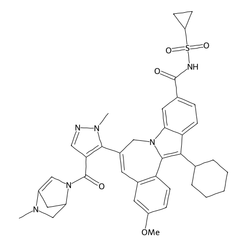 COc1ccc2c(c1)C=C(c1c(C(=O)N3C=C4CC3CN4C)cnn1C)Cn1c-2c(C2CCCCC2)c2ccc(C(=O)NS(=O)(=O)C3CC3)cc21